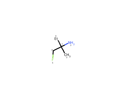 CCC(C)(N)CF